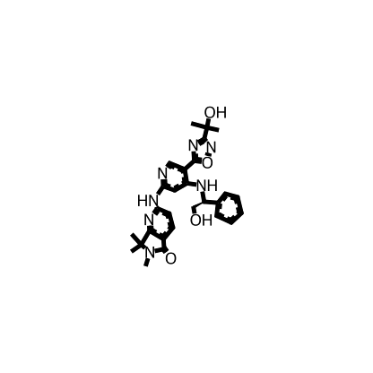 CN1C(=O)c2ccc(Nc3cc(N[C@H](CO)c4ccccc4)c(-c4nc(C(C)(C)O)no4)cn3)nc2C1(C)C